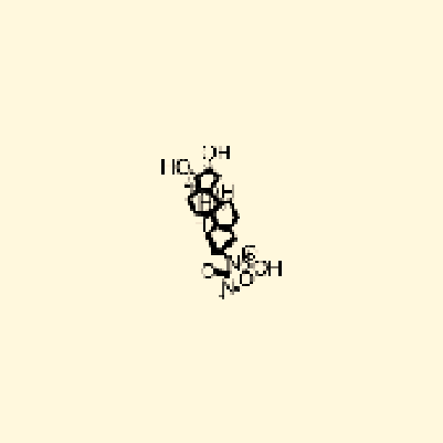 CN(C)C(=O)N(c1ccc2c(c1)CC[C@@H]1[C@@H]2CC[C@]2(C)[C@@H](O)[C@H](O)C[C@@H]12)S(=O)(=O)O